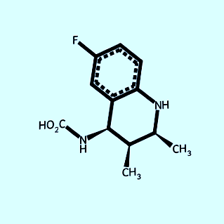 C[C@@H]1[C@H](C)Nc2ccc(F)cc2[C@@H]1NC(=O)O